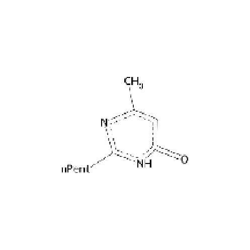 CCCCCc1nc(C)cc(=O)[nH]1